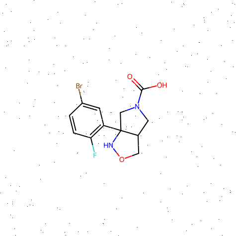 O=C(O)N1CC2CONC2(c2cc(Br)ccc2F)C1